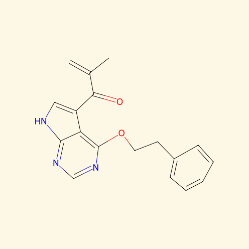 C=C(C)C(=O)c1c[nH]c2ncnc(OCCc3ccccc3)c12